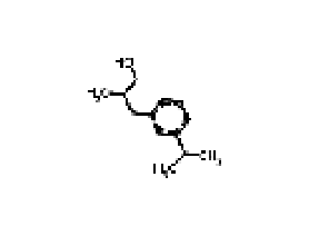 CC(CO)Cc1cccc(C(C)C)c1